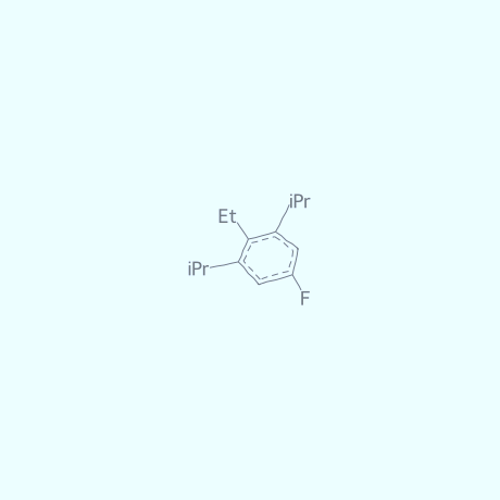 CCc1c(C(C)C)cc(F)cc1C(C)C